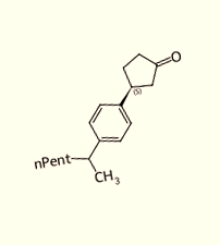 CCCCCC(C)c1ccc([C@H]2CCC(=O)C2)cc1